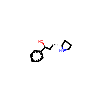 O[C@@H](CC[C@@H]1CCCN1)c1ccccc1